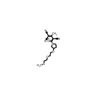 COCCOCCOC1CCN(/C(C)=C(\C#N)C(C)=C(C#N)C#N)C1